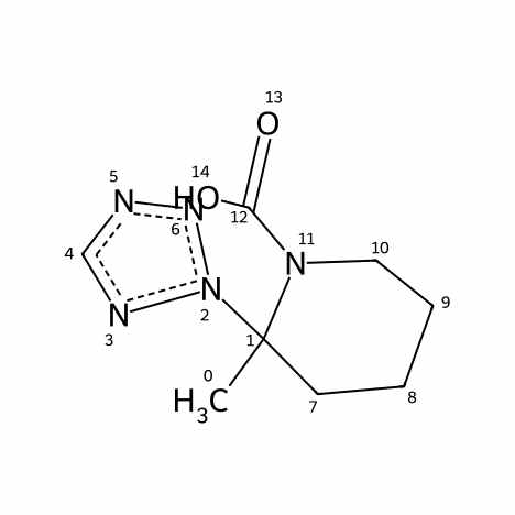 CC1(n2ncnn2)CCCCN1C(=O)O